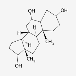 C[C@]12CCC(O)CC1C(O)C[C@@H]1[C@@H]2CC[C@]2(C)C(O)CC[C@@H]12